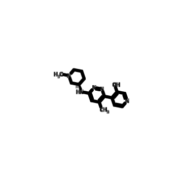 Cc1cc(N[C@@H]2CCCN(C)C2)nnc1-c1ccncc1O